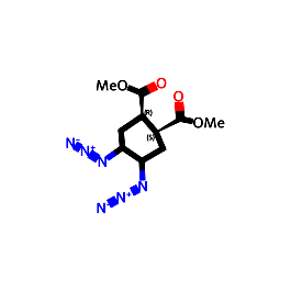 COC(=O)[C@H]1CC(N=[N+]=[N-])C(N=[N+]=[N-])C[C@H]1C(=O)OC